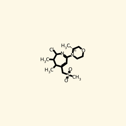 CC1C(CS(C)(=O)=O)=CC(N2CCOC[C@H]2C)=NC(Cl)C1C